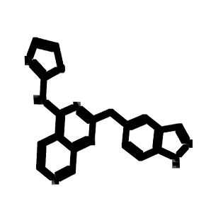 c1cc2c(Nc3ncco3)nc(Cc3ccc4[nH]ncc4c3)nc2cn1